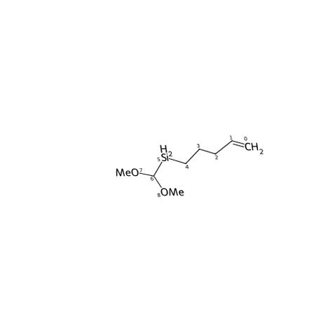 C=CCCC[SiH2]C(OC)OC